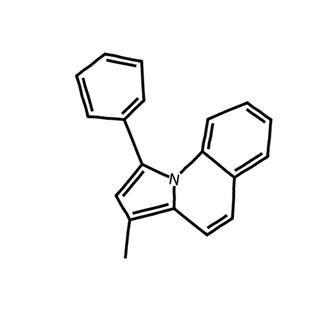 Cc1cc(-c2ccccc2)n2c1ccc1ccccc12